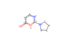 O=c1ccnc(N2CCCC2)o1